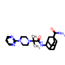 CC(C)(C(=O)NC1C2CC3CC1CC(C(N)=O)(C3)C2)N1CCN(c2ncccn2)CC1